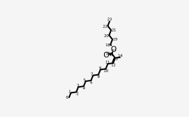 CCCCCCCCCCCCC=C(C)C(=O)OCCCCCC